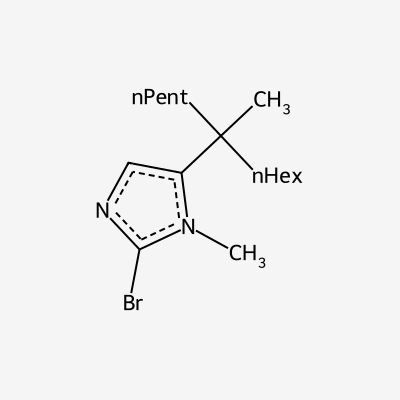 CCCCCCC(C)(CCCCC)c1cnc(Br)n1C